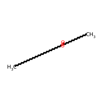 CCCCCC/C=C/CCCCCCCCCC(=O)OCCCCCCCCCCCCCCCCCCCCCCCCCCCCCCCCCC